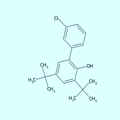 CC(C)(C)c1cc(-c2cccc(Cl)c2)c(O)c(C(C)(C)C)c1